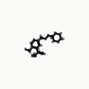 COc1ccc(OCCN2CCOCC2)cc1C(=O)O